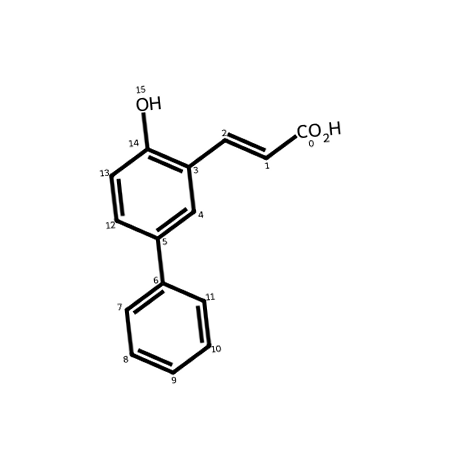 O=C(O)C=Cc1cc(-c2ccccc2)ccc1O